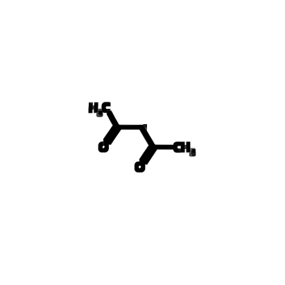 CC(=O)[C]C(C)=O